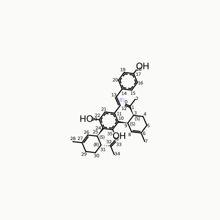 C=C(C)[C@H]1CCC(C)=C[C@H]1c1c(/C=C/c2ccc(O)cc2)cc(O)c([C@@H]2C=C(C)CC[C@H]2C(=C)C)c1O